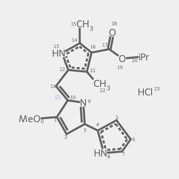 COC1=CC(c2ccc[nH]2)=N/C1=C\c1[nH]c(C)c(C(=O)OC(C)C)c1C.Cl